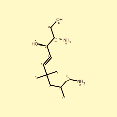 CC(CC(C)(C)/C=C/[C@@H](O)[C@@H](N)CO)ON